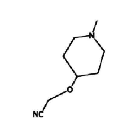 CN1CCC(OCC#N)CC1